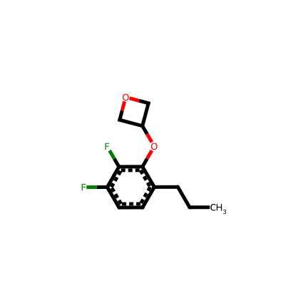 CCCc1ccc(F)c(F)c1OC1COC1